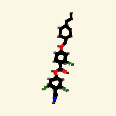 CCCC1CCC(COc2ccc(C(=O)Oc3cc(F)c(C#N)c(F)c3)c(F)c2)CC1